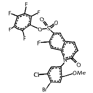 COc1cc(Br)c(Cl)cc1-n1c(=O)ccc2cc(S(=O)(=O)Oc3c(F)c(F)c(F)c(F)c3F)c(F)cc21